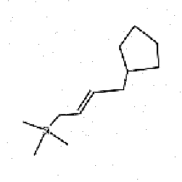 C[Si](C)(C)CC=CC[C]1CCCC1